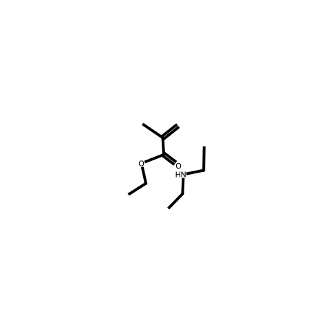 C=C(C)C(=O)OCC.CCNCC